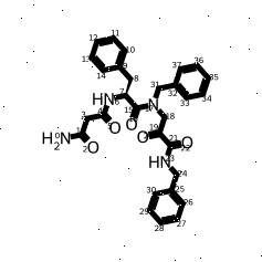 NC(=O)[CH]C(=O)N[C@@H](Cc1ccccc1)C(=O)N(CC(=O)C(=O)NCc1ccccc1)Cc1ccccc1